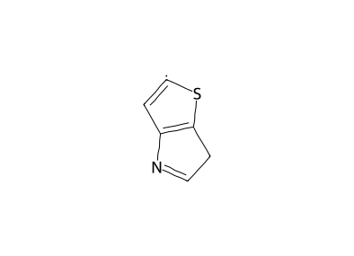 [c]1cc2c(s1)CC=N2